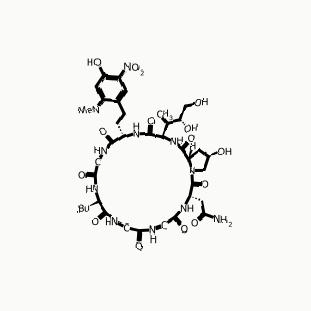 CC[C@H](C)C1NC(=O)CNC(=O)[C@H](CCc2cc([N+](=O)[O-])c(O)cc2NC)NC(=O)C(C(C)[C@@H](O)CO)NC(=O)[C@@H]2C[C@@H](O)CN2C(=O)[C@H](CC(N)=O)NC(=O)CNC(=O)CNC1=O